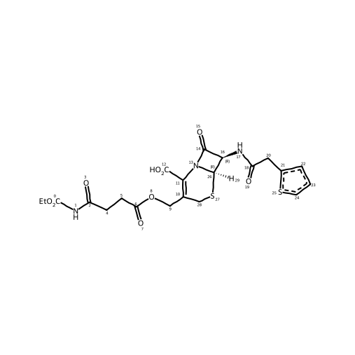 CCOC(=O)NC(=O)CCC(=O)OCC1=C(C(=O)O)N2C(=O)[C@@H](NC(=O)Cc3cccs3)[C@H]2SC1